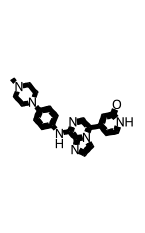 CN1CCN(c2ccc(Nc3ncc(-c4cc[nH]c(=O)c4)n4ccnc34)cc2)CC1